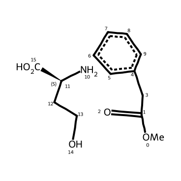 COC(=O)Cc1ccccc1.N[C@@H](CCO)C(=O)O